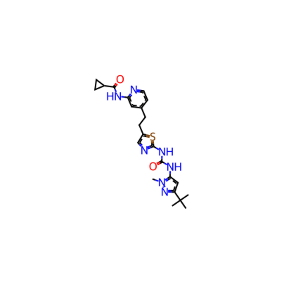 Cn1nc(C(C)(C)C)cc1NC(=O)Nc1ncc(CCc2ccnc(NC(=O)C3CC3)c2)s1